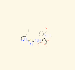 COCC1(Nc2cc(C(=O)Nc3nnc(-n4nccc4C)s3)oc(=O)c2OC)CCCC1